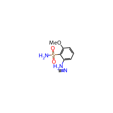 C#N.COc1cccc(N)c1S(N)(=O)=O